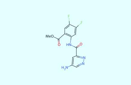 COC(=O)c1cc(F)c(F)cc1NC(=O)c1cc(N)cnn1